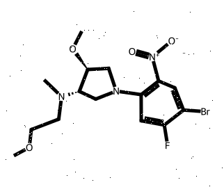 COCCN(C)[C@H]1CN(c2cc(F)c(Br)cc2[N+](=O)[O-])C[C@@H]1OC